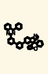 c1ccc(-c2nc(-c3cccc(-c4cccc(-c5ccc6c(c5)C5(c7ccccc7Oc7ccccc75)c5cccnc5-6)c4)c3)nc3ccccc23)cc1